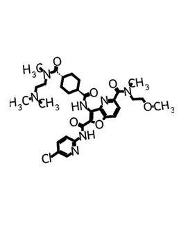 COCCN(C)C(=O)c1ccc2oc(C(=O)Nc3ccc(Cl)cn3)c(NC(=O)[C@H]3CC[C@H](C(=O)N(C)CCN(C)C)CC3)c2n1